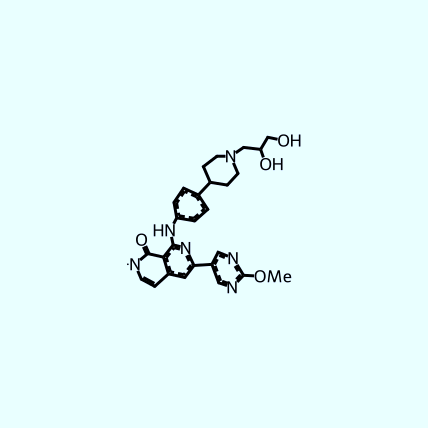 COc1ncc(-c2cc3c(c(Nc4ccc(C5CCN(CC(O)CO)CC5)cc4)n2)C(=O)[N]C=C3)cn1